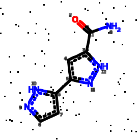 NC(=O)c1cc(-c2ccn[nH]2)n[nH]1